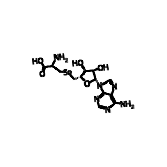 Nc1ncnc2c1ncn2[C@@H]1O[C@H](C[Se]CC(N)C(=O)O)[C@@H](O)[C@H]1O